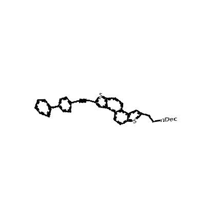 CCCCCCCCCCCCc1cc2c(ccc3c4cc(C#Cc5ccc(-c6ccccc6)cc5)sc4ccc23)s1